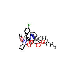 CCOC(=O)C(C)(C)[C@H]1CC[C@@H](C2(C)C=C(F)C=CC2)N1C(=O)[C@@H](C)N1C(=O)c2ccccc2C1=O